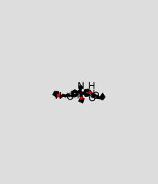 N#CC1c2ccc(OCCCCN3CCCC3)cc2N(C2CCC2)C1c1ccc(NC(=O)OCC2CCC2)cc1